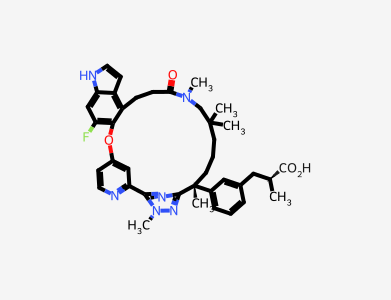 C[C@@H](Cc1cccc([C@@]2(C)CCCC(C)(C)CN(C)C(=O)CCc3c(c(F)cc4[nH]ccc34)Oc3ccnc(c3)-c3nc2nn3C)c1)C(=O)O